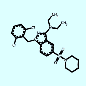 CCN(CC)c1nn(Cc2c(Cl)cccc2Cl)c2ccc(S(=O)(=O)N3CCCCC3)cc12